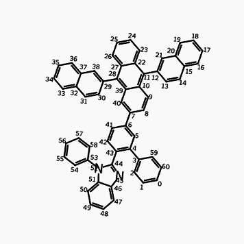 c1ccc(-c2cc(-c3ccc4c(-c5ccc6ccccc6c5)c5ccccc5c(-c5ccc6ccccc6c5)c4c3)ccc2-c2nc3ccccc3n2-c2ccccc2)cc1